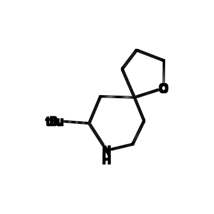 CC(C)(C)C1CC2(CCCO2)CCN1